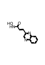 O=C(/C=C/c1cnc2ccccc2n1)NO